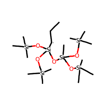 CC[CH][Si](O[Si](C)(C)C)(O[Si](C)(C)C)O[Si](C)(O[Si](C)(C)C)O[Si](C)(C)C